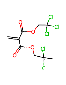 C=C(C(=O)OCC(C)(Cl)Cl)C(=O)OCC(Cl)(Cl)Cl